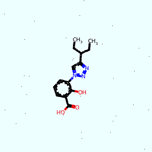 CCC(CC)c1cn(-c2cccc(C(=O)O)c2O)nn1